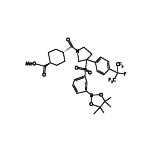 COC(=O)[C@H]1CC[C@H](C(=O)N2CCC(c3ccc(C(F)(C(F)(F)F)C(F)(F)F)cc3)(S(=O)(=O)c3cccc(B4OC(C)(C)C(C)(C)O4)c3)C2)CC1